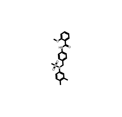 COc1ccccc1C(=O)Nc1ccc(CN(c2ccc(C)c(C)c2)S(C)(=O)=O)cc1